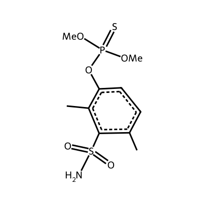 COP(=S)(OC)Oc1ccc(C)c(S(N)(=O)=O)c1C